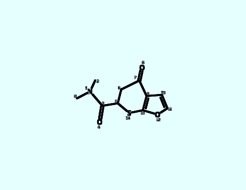 CN(C)C(=O)C1CC(=O)c2ccoc2S1